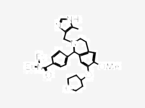 CCN(CC)C(=O)c1ccc(C2c3cc(OC4CCOCC4)c(OC)cc3CCN2Cc2nc[nH]c2C)cc1